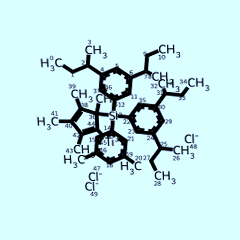 CCC(C)c1cc(C(C)CC)cc([Si](c2cc(C)cc(C)c2)(c2cc(C(C)CC)cc(C(C)CC)c2)C2(C)C(C)=C(C)C(C)=[C]2[Ti+3])c1.[Cl-].[Cl-].[Cl-]